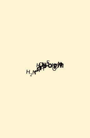 N#C[C@]1(c2ccc(-c3ccc(N4C[C@H](Cn5ccnn5)OC4=O)cc3F)cn2)[C@@H]2CN(CCN)C[C@@H]21